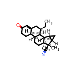 CC[C@@H]1CC2=CC(=O)CC[C@@H]2[C@H]2CC[C@@]3(C)[C@@H]([C@@H]4C[C@@H]4[C@]3(C)C#N)[C@H]12